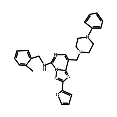 Cc1ccccc1CNc1ncc(CN2CCN(c3ccccc3)CC2)c2nc(-c3ccco3)nn12